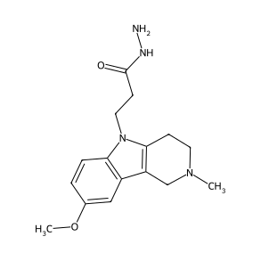 COc1ccc2c(c1)c1c(n2CCC(=O)NN)CCN(C)C1